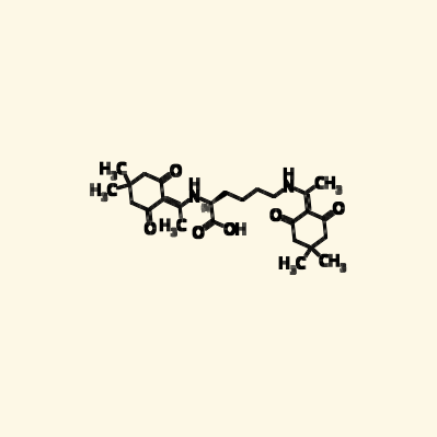 CC(NCCCC[C@H](NC(C)=C1C(=O)CC(C)(C)CC1=O)C(=O)O)=C1C(=O)CC(C)(C)CC1=O